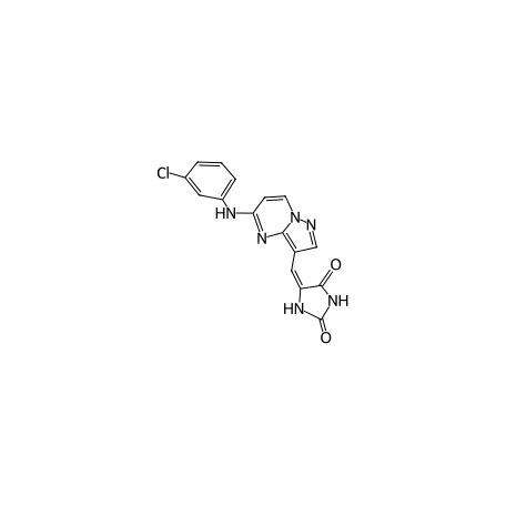 O=C1NC(=O)/C(=C\c2cnn3ccc(Nc4cccc(Cl)c4)nc23)N1